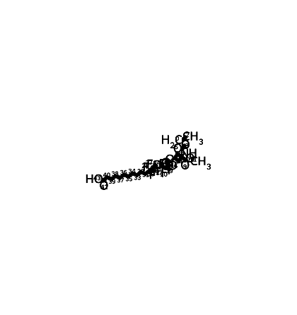 C=C(C)OC(=O)N[C@]1(C(=O)OC)C[C@H](OS(=O)(=O)C(F)(F)C(F)(F)OC(F)(F)C(F)(F)CCCCCCCCCCC(=O)O)C1